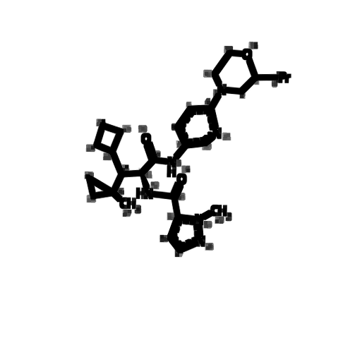 CC(C)C1CN(c2ccc(NC(=O)[C@@H](NC(=O)c3ccnn3C)C(C3CCC3)C3(C)CC3)cn2)CCO1